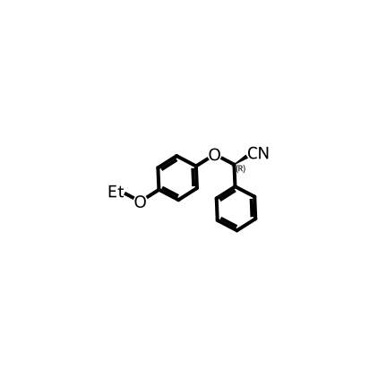 CCOc1ccc(O[C@@H](C#N)c2ccccc2)cc1